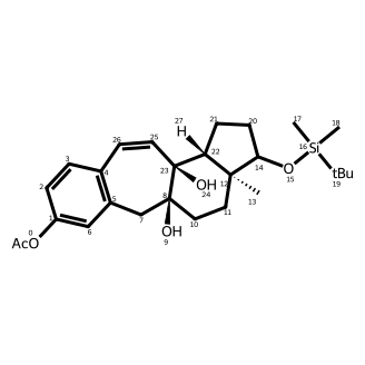 CC(=O)Oc1ccc2c(c1)C[C@@]1(O)CC[C@]3(C)C(O[Si](C)(C)C(C)(C)C)CC[C@H]3[C@@]1(O)C=C2